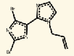 C=CCn1ccnc1-c1sc(Br)nc1Br